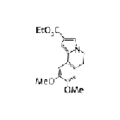 CCOC(=O)c1cc2n(c1)CCc1cc(OC)c(OC)cc1-2